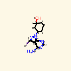 CC1(O)CCCC(n2nc(I)c3c(N)ncnc32)C1